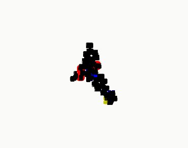 CCOC(=O)c1cn(-c2ccc(C=Cc3nccs3)cc2)nc1N(C(=O)[C@H]1CC[C@H](C)CC1)C(C)C